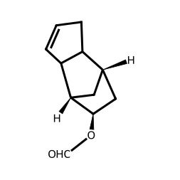 O=CO[C@@H]1C[C@@H]2C[C@H]1C1C=CCC12